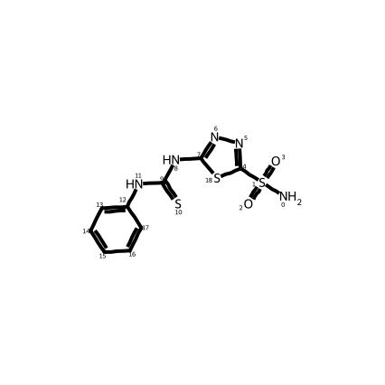 NS(=O)(=O)c1nnc(NC(=S)Nc2ccccc2)s1